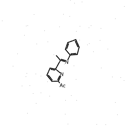 CC(=O)c1cccc(/C(C)=N/c2ccccc2)n1